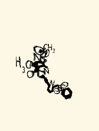 Cn1c2nc(S(C)(=O)=O)sc2c2cnn(CC#Cc3cccc(CS(=O)(=O)c4ccccc4)n3)c(=O)c21